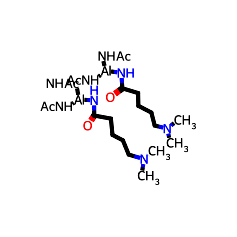 CC(=O)[NH][Al]([NH]C(C)=O)[NH]C(=O)CCCCN(C)C.CC(=O)[NH][Al]([NH]C(C)=O)[NH]C(=O)CCCCN(C)C